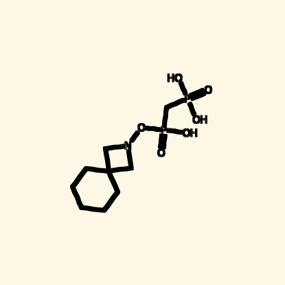 O=P(O)(O)CP(=O)(O)ON1CC2(CCCCC2)C1